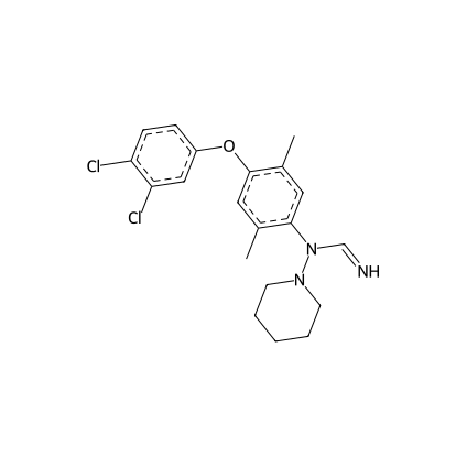 Cc1cc(N(C=N)N2CCCCC2)c(C)cc1Oc1ccc(Cl)c(Cl)c1